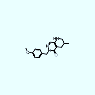 COc1ccc(Cn2ncc3c(c2=O)CC(C)CN3)cc1